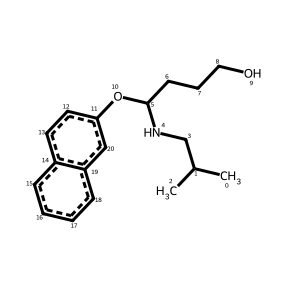 CC(C)CNC(CCCO)Oc1ccc2ccccc2c1